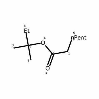 CCCCCCC(=O)OC(C)(C)CC